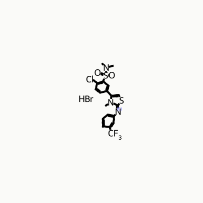 Br.CN(C)S(=O)(=O)c1cc(-c2cs/c(=N/c3cccc(C(F)(F)F)c3)n2C)ccc1Cl